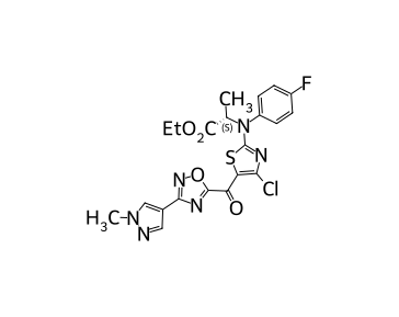 CCOC(=O)[C@H](C)N(c1ccc(F)cc1)c1nc(Cl)c(C(=O)c2nc(-c3cnn(C)c3)no2)s1